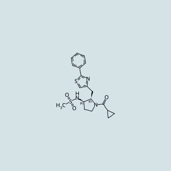 CS(=O)(=O)N[C@@H]1CCN(C(=O)C2CC2)[C@@H]1Cc1csc(-c2ccccc2)n1